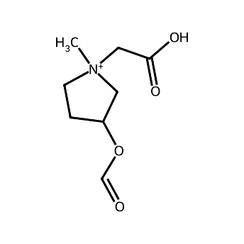 C[N+]1(CC(=O)O)CCC(OC=O)C1